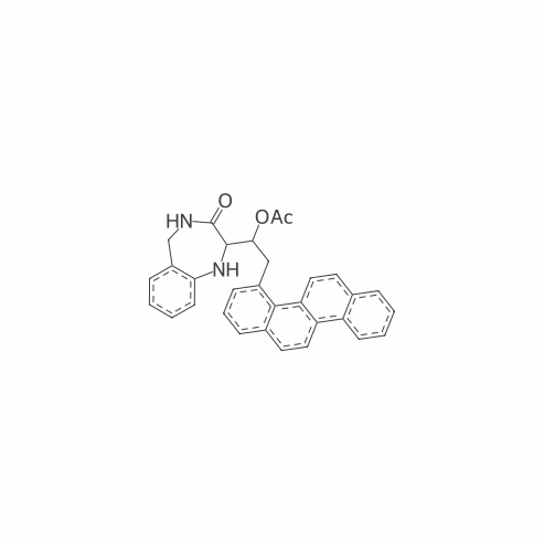 CC(=O)OC(Cc1cccc2ccc3c4ccccc4ccc3c12)C1Nc2ccccc2CNC1=O